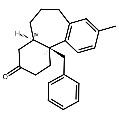 Cc1ccc2c(c1)CCC[C@@H]1CC(=O)CC[C@@]21Cc1ccccc1